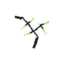 C=CC(F)(F)C(F)(C=C)C(F)(F)F